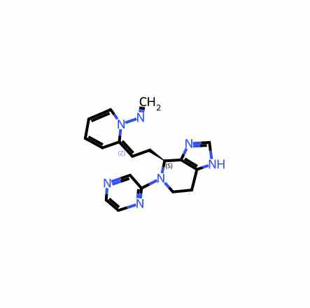 C=NN1C=CC=C/C1=C/C[C@H]1c2nc[nH]c2CCN1c1cnccn1